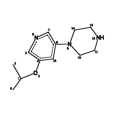 CC(C)Oc1cncc(N2CCNCC2)c1